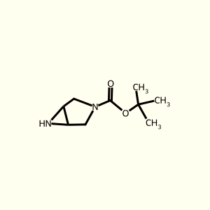 CC(C)(C)OC(=O)N1CC2NC2C1